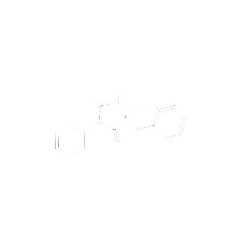 CN1C(=O)N(c2ccccc2)C(=O)C1(C)Cc1ccccn1